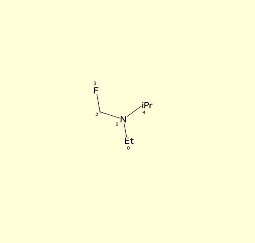 CCN(CF)C(C)C